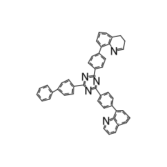 C1=Nc2c(cccc2-c2ccc(-c3nc(-c4ccc(-c5ccccc5)cc4)nc(-c4ccc(-c5cccc6cccnc56)cc4)n3)cc2)CC1